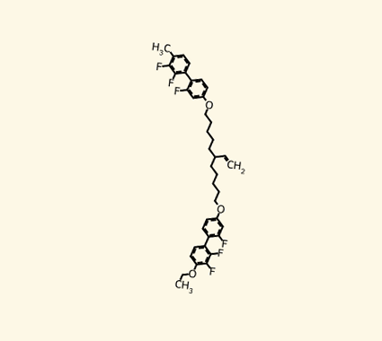 C=CC(CCCCCOc1ccc(-c2ccc(C)c(F)c2F)c(F)c1)CCCCCOc1ccc(-c2ccc(OCC)c(F)c2F)c(F)c1